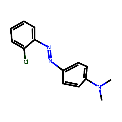 CN(C)c1ccc(/N=N/c2ccccc2Cl)cc1